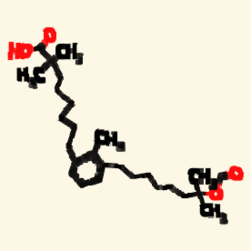 Cc1c(CCCCCCC(C)(C)OC=O)cccc1CCCCCCC(C)(C)C(=O)O